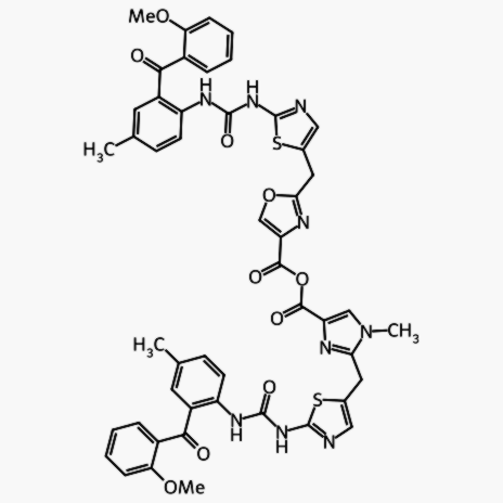 COc1ccccc1C(=O)c1cc(C)ccc1NC(=O)Nc1ncc(Cc2nc(C(=O)OC(=O)c3cn(C)c(Cc4cnc(NC(=O)Nc5ccc(C)cc5C(=O)c5ccccc5OC)s4)n3)co2)s1